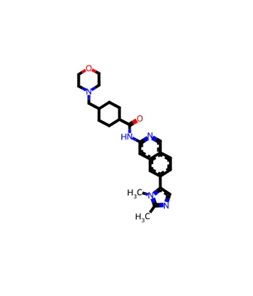 Cc1ncc(-c2ccc3cnc(NC(=O)C4CCC(CN5CCOCC5)CC4)cc3c2)n1C